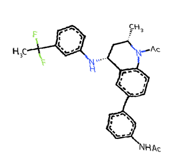 CC(=O)Nc1cccc(-c2ccc3c(c2)[C@H](Nc2cccc(C(C)(F)F)c2)C[C@H](C)N3C(C)=O)c1